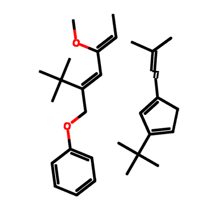 CC=C(C=C(COc1ccccc1)C(C)(C)C)OC.C[C](C)=[Ti][C]1=CC(C(C)(C)C)=CC1